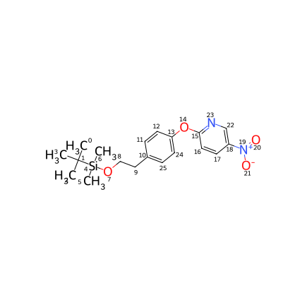 CC(C)(C)[Si](C)(C)OCCc1ccc(Oc2ccc([N+](=O)[O-])cn2)cc1